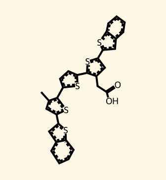 Cc1cc(-c2cc3ccccc3s2)sc1-c1ccc(-c2sc(-c3cc4ccccc4s3)cc2CC(=O)O)s1